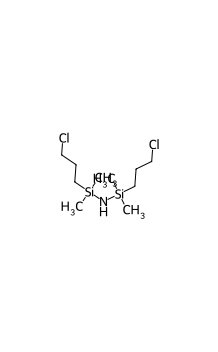 C[Si](C)(CCCCl)N[Si](C)(C)CCCCl